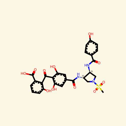 CS(=O)(=O)N1C[C@H](NC(=O)c2ccc(O)cc2)[C@@H](NC(=O)c2cc(O)c(C(=O)c3c(O)cccc3C(=O)O)c(O)c2)C1